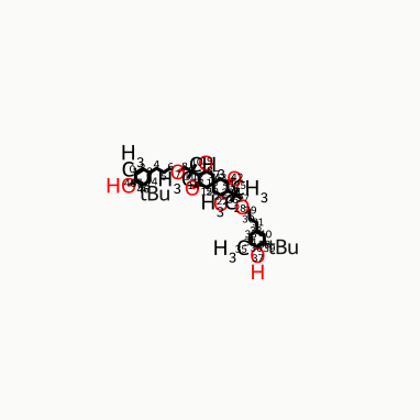 Cc1cc(CCCOCC(C)(C)C2C(=O)CC3(CC2=O)CC(=O)C(C(C)(C)COCCCc2cc(C)c(O)c(C(C)(C)C)c2)C(=O)C3)cc(C(C)(C)C)c1O